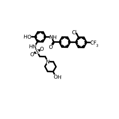 O=C(Nc1ccc(O)c(NS(=O)(=O)CCN2CCC(O)CC2)c1)c1ccc(-c2ccc(C(F)(F)F)cc2Cl)cc1